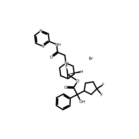 O=C(C[N+]12CCC(CC1)[C@@H](OC(=O)C(O)(c1ccccc1)C1CCC(F)(F)C1)C2)Nc1cnccn1.[Br-]